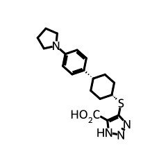 O=C(O)c1[nH]nnc1S[C@H]1CC[C@@H](c2ccc(N3CCCC3)cc2)CC1